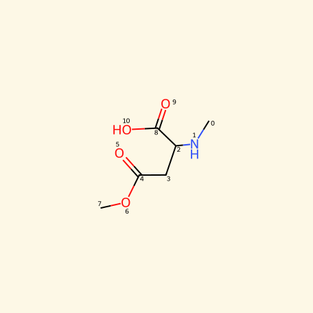 CNC(CC(=O)OC)C(=O)O